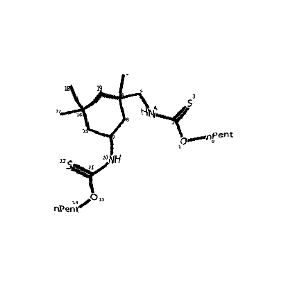 CCCCCOC(=S)NCC1(C)CC(NC(=S)OCCCCC)CC(C)(C)C1